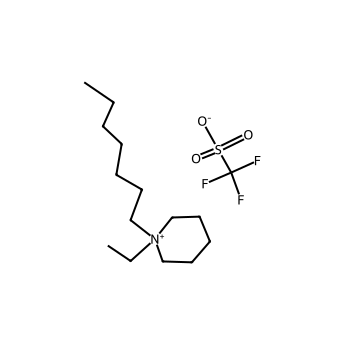 CCCCCCC[N+]1(CC)CCCCC1.O=S(=O)([O-])C(F)(F)F